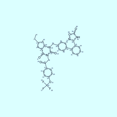 CCc1cc2c(=O)n(CC(=O)c3ccc(OC(F)(F)F)cc3)c(=O)n(Cc3ccc(-c4ccccc4-c4noc(=O)[nH]4)cc3)c2s1